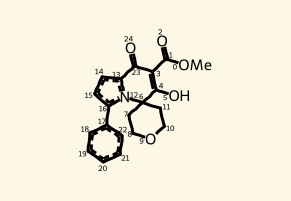 COC(=O)C1=C(O)C2(CCOCC2)n2c(ccc2-c2ccccc2)C1=O